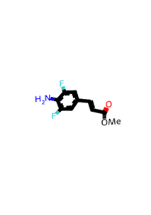 COC(=O)/C=C/c1cc(F)c(N)c(F)c1